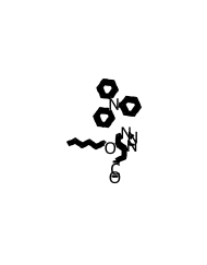 CCCCCCOc1cnnnc1CC=C=O.c1ccc(N(c2ccccc2)c2ccccc2)cc1